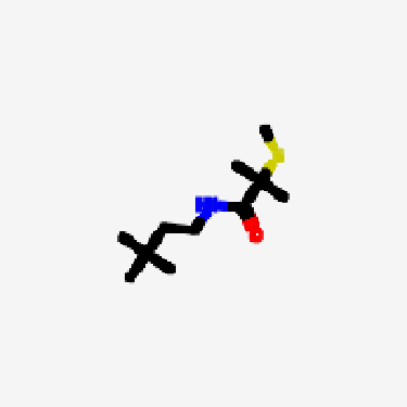 CSC(C)(C)C(=O)NCCC(C)(C)C